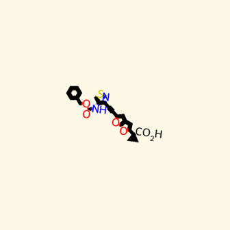 O=C(Nc1csnc1C#Cc1cc2cc(C3(C(=O)O)CC3)oc2o1)OCc1ccccc1